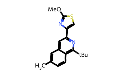 COc1nc(-c2cc3cc(C)ccc3c(C(C)(C)C)n2)cs1